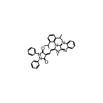 CC(C)c1cccc(C(C)C)c1N1/C(=C/C=C2C(=O)N(c3ccccc3)N(c3ccccc3)C2=O)N(C)c2nc3ccccc3nc21